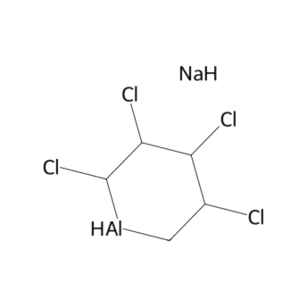 ClC1[CH2][AlH][CH](Cl)C(Cl)C1Cl.[NaH]